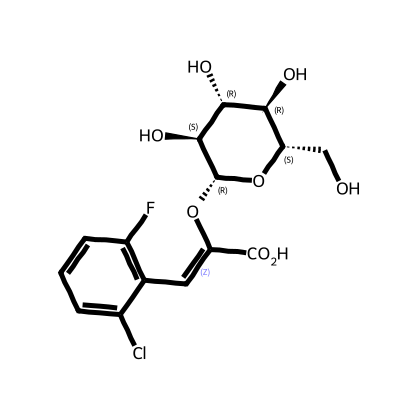 O=C(O)/C(=C/c1c(F)cccc1Cl)O[C@H]1O[C@@H](CO)[C@H](O)[C@@H](O)[C@@H]1O